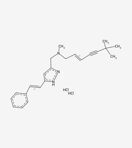 CN(C/C=C/C#CC(C)(C)C)Cc1cc(/C=C/c2ccccc2)[nH]n1.Cl.Cl